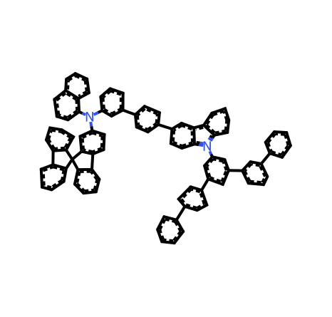 c1ccc(-c2ccc(-c3cc(-c4cccc(-c5ccccc5)c4)cc(-n4c5ccccc5c5cc(-c6ccc(-c7cccc(N(c8ccc9c(c8)C8(c%10ccccc%10-c%10ccccc%108)c8ccccc8-9)c8cccc9ccccc89)c7)cc6)ccc54)c3)cc2)cc1